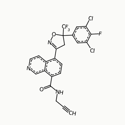 C#CCNC(=O)c1ccc(C2=NOC(c3cc(Cl)c(F)c(Cl)c3)(C(F)(F)F)C2)c2ccncc12